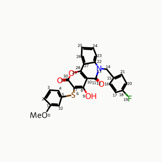 COc1cccc(Sc2c(O)c3c(=O)n(Cc4ccc(F)cc4)c4ccccc4c3oc2=O)c1